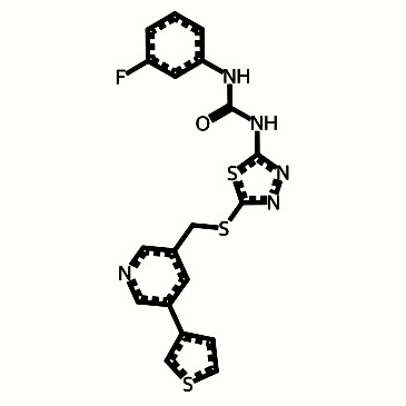 O=C(Nc1cccc(F)c1)Nc1nnc(SCc2cncc(-c3ccsc3)c2)s1